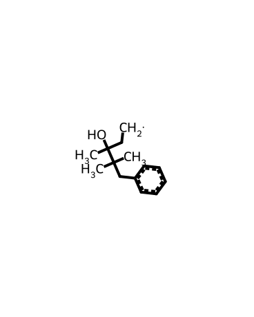 [CH2]CC(C)(O)C(C)(C)Cc1ccccc1